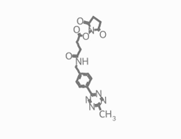 Cc1nnc(-c2ccc(CNC(=O)CCC(=O)ON3C(=O)CCC3=O)cc2)nn1